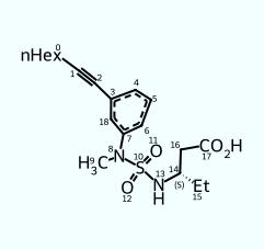 CCCCCCC#Cc1cccc(N(C)S(=O)(=O)N[C@@H](CC)CC(=O)O)c1